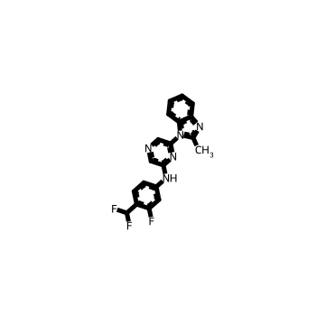 Cc1nc2ccccc2n1-c1cncc(Nc2ccc(C(F)F)c(F)c2)n1